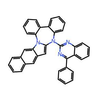 c1ccc(-c2nc(N3c4ccccc4-c4ccccc4-n4c3cc3cc5ccccc5cc34)nc3ccccc23)cc1